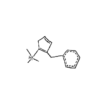 [CH3][Hf]([CH3])([CH3])[C]1=C(Cc2ccccc2)C=CC1